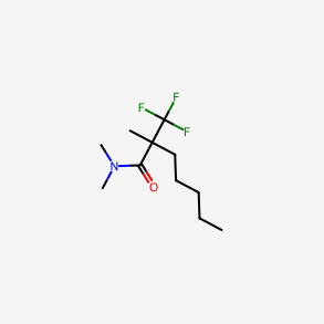 CCCCCC(C)(C(=O)N(C)C)C(F)(F)F